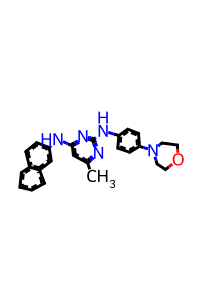 Cc1cc(Nc2ccc3ccccc3c2)nc(Nc2ccc(N3CCOCC3)cc2)n1